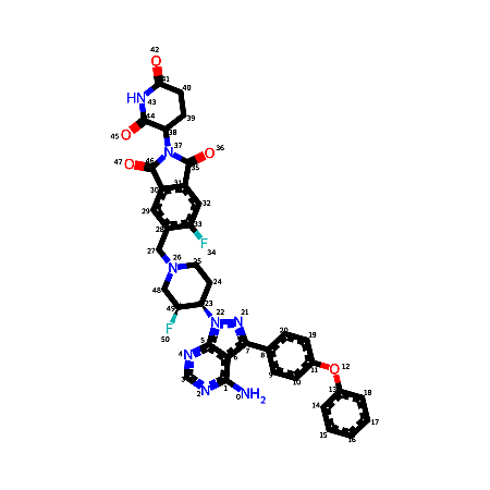 Nc1ncnc2c1c(-c1ccc(Oc3ccccc3)cc1)nn2[C@@H]1CCN(Cc2cc3c(cc2F)C(=O)N(C2CCC(=O)NC2=O)C3=O)C[C@@H]1F